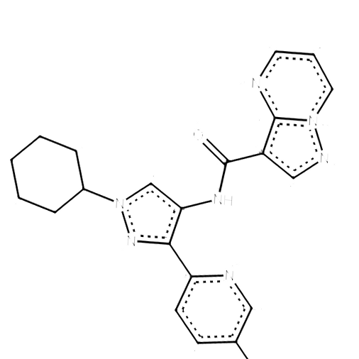 Cc1ccc(-c2nn(C3CCCCC3)cc2NC(=O)c2cnn3cccnc23)nc1